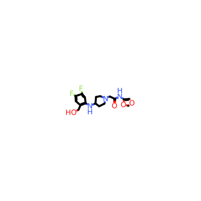 O=C(CN1CCC(Nc2cc(F)c(F)cc2CO)CC1)NC1=COCO1